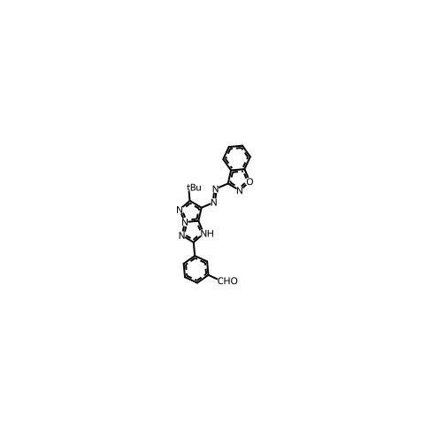 CC(C)(C)c1nn2nc(-c3cccc(C=O)c3)[nH]c2c1N=Nc1noc2ccccc12